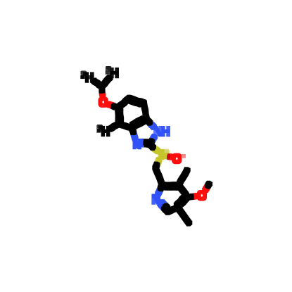 [2H]c1c(OC([2H])[2H])ccc2[nH]c([S+]([O-])Cc3ncc(C)c(OC)c3C)nc12